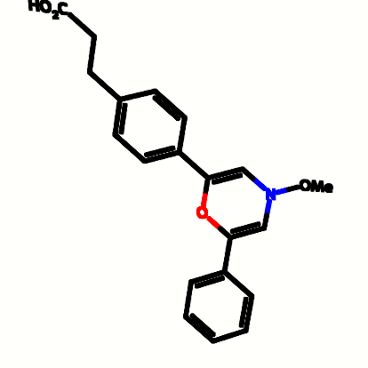 CON1C=C(c2ccccc2)OC(c2ccc(CCC(=O)O)cc2)=C1